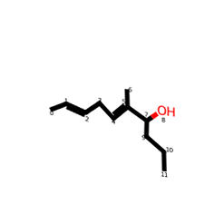 C/C=C/C/C=C(\C)C(O)CCC